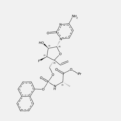 C=C[C@]1(COP(=O)(N[C@@H](C)C(=O)OC(C)C)Oc2cccc3ccccc23)O[C@@H](n2ccc(N)nc2=O)[C@H](O)[C@@H]1F